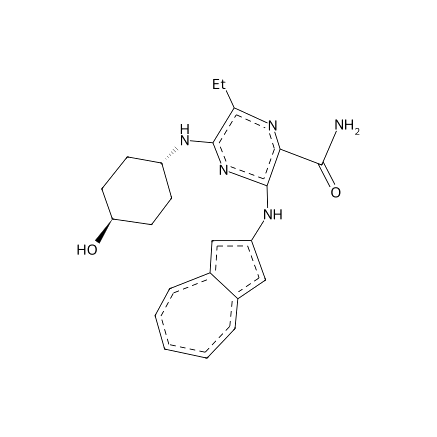 CCc1nc(C(N)=O)c(Nc2cc3cccccc-3c2)nc1N[C@H]1CC[C@H](O)CC1